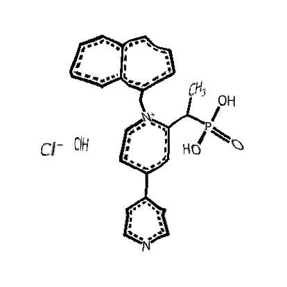 CC(c1cc(-c2ccncc2)cc[n+]1-c1cccc2ccccc12)P(=O)(O)O.Cl.[Cl-]